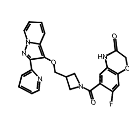 O=C1COc2cc(F)c(C(=O)N3CC(COc4c(-c5ccccn5)nn5ccccc45)C3)cc2N1